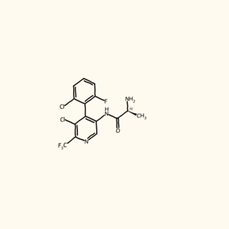 C[C@H](N)C(=O)Nc1cnc(C(F)(F)F)c(Cl)c1-c1c(F)cccc1Cl